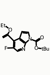 C=C(OCC)c1c(F)cnc2c1ccn2C(=O)OC(C)(C)C